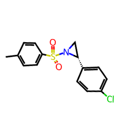 Cc1ccc(S(=O)(=O)N2C[C@@H]2c2ccc(Cl)cc2)cc1